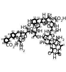 C=C(CN1CC(C)C(=O)NC1=O)N(CCN)CC(=O)N[C@@H](CC(C)C)C(=O)N1CCC[C@H]1C(=O)N[C@@H](CS)C(=O)N[C@@H](CC(=O)O)[C@H](O)N[C@@H](CC)C(=O)N[C@@H](Cc1ccc(O)cc1)C(=O)NCC(=O)N[C@@H](C(C)O)[C@H](O)N[C@@H](CS)C(=O)N[C@@H](Cc1ccc(-c2ccccc2)cc1)C(=O)N[C@@H](CC(=O)O)C(N)=O